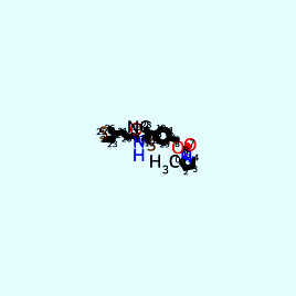 CC1CCCN1C(=O)OCC1CCc2c(sc(NC(=O)C=Cc3ccsc3)c2C#N)C1